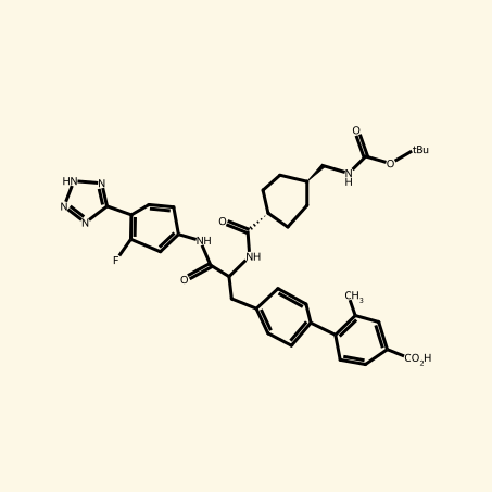 Cc1cc(C(=O)O)ccc1-c1ccc(CC(NC(=O)[C@H]2CC[C@H](CNC(=O)OC(C)(C)C)CC2)C(=O)Nc2ccc(-c3nn[nH]n3)c(F)c2)cc1